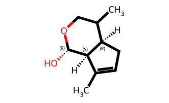 CC1=CC[C@@H]2C(C)CO[C@@H](O)[C@H]12